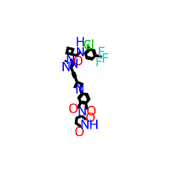 O=C1CCC(N2C(=O)c3ccc(N4CC(C#Cc5ncn(C6(C(=O)Nc7ccc(C(F)(F)F)cc7Cl)CCC6)n5)C4)cc3C2=O)C(=O)N1